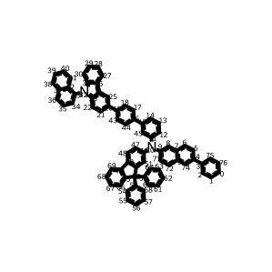 c1ccc(-c2ccc3cc(N(c4cccc(-c5ccc(-c6ccc7c(c6)c6ccccc6n7-c6cccc7ccccc67)cc5)c4)c4ccc5c(c4)C(c4ccccc4)(c4ccccc4)c4ccccc4-5)ccc3c2)cc1